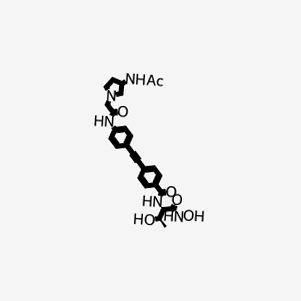 CC(=O)NC1CCN(CC(=O)Nc2ccc(C#Cc3ccc(C(=O)N[C@H](C(=O)NO)[C@@H](C)O)cc3)cc2)C1